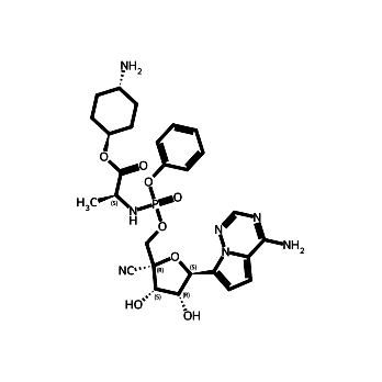 C[C@H](NP(=O)(OC[C@@]1(C#N)O[C@@H](c2ccc3c(N)ncnn23)[C@H](O)[C@@H]1O)Oc1ccccc1)C(=O)O[C@H]1CC[C@H](N)CC1